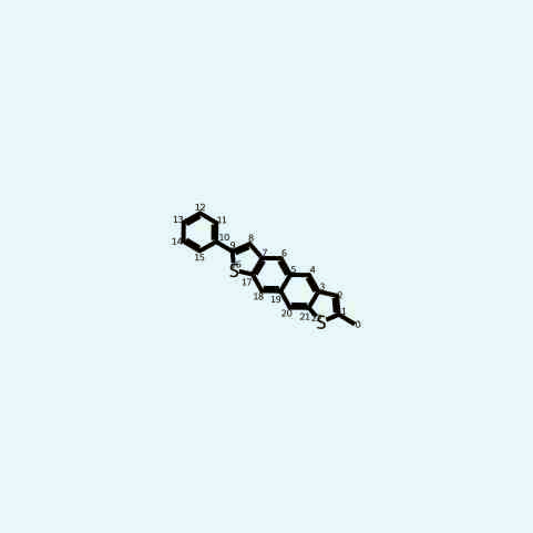 Cc1cc2cc3cc4cc(-c5ccccc5)sc4cc3cc2s1